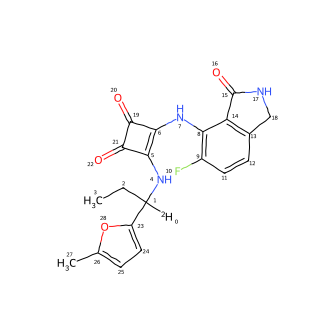 [2H]C(CC)(Nc1c(Nc2c(F)ccc3c2C(=O)NC3)c(=O)c1=O)c1ccc(C)o1